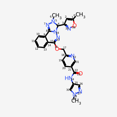 Cc1cc(C2N(C)N=C3c4ccccc4C(OCc4ccc(C(=O)Nc5cnn(C)c5)cn4)=NN32)no1